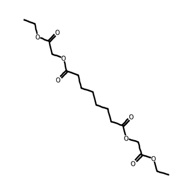 CCOC(=O)COC(=O)CCCCCCC(=O)OCC(=O)OCC